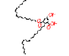 CCCCC/C=C\C/C=C\CCCCCCCCOC(=O)c1cc(CO)cc(C(=O)O)c1CCCCCCCC/C=C\C/C=C\CCCCC